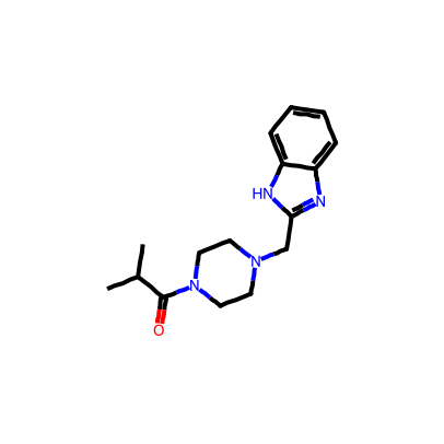 CC(C)C(=O)N1CCN(Cc2nc3ccccc3[nH]2)CC1